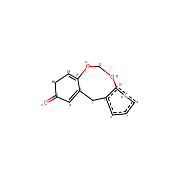 O=C1C=C2Cc3ccccc3OCOC2=CC1